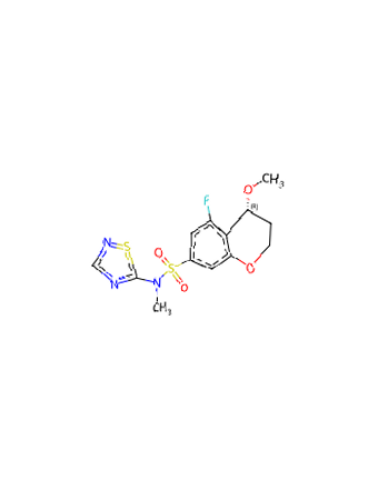 CO[C@@H]1CCOc2cc(S(=O)(=O)N(C)c3ncns3)cc(F)c21